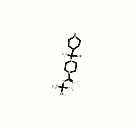 CC(C)(C)OC(=O)N1CCN(C(C)(C)C2CCNCC2)CC1